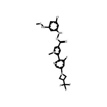 CSNc1cc(Cl)cc(NOC(=O)c2cc(-c3ncc(N4CC(C(F)(F)F)C4)cc3F)n(C)c2)c1